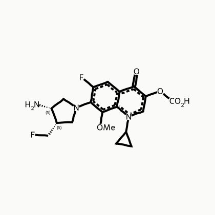 COc1c(N2C[C@H](CF)[C@H](N)C2)c(F)cc2c(=O)c(OC(=O)O)cn(C3CC3)c12